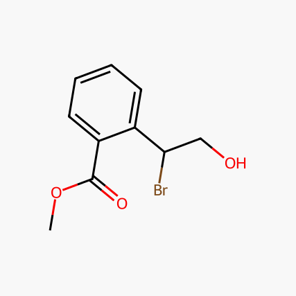 COC(=O)c1ccccc1C(Br)CO